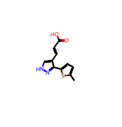 Cc1ccc(-c2n[nH]cc2/C=C/C(=O)O)s1